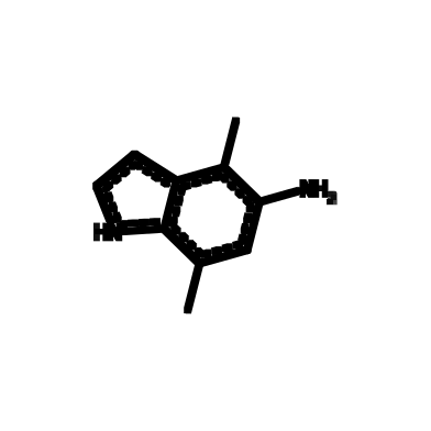 Cc1c(N)cc(C)c2[nH]ccc12